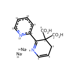 O=C(O)C1(C(=O)O)CC=CN=C1c1ccccn1.[Na].[Na]